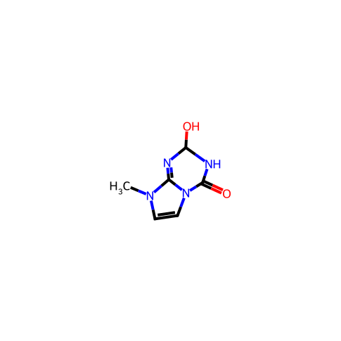 CN1C=CN2C(=O)NC(O)N=C12